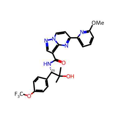 COc1cccc(-c2ccn3ncc(C(=O)N[C@@H](c4ccc(OC(F)(F)F)cc4)C(C)(C)O)c3n2)n1